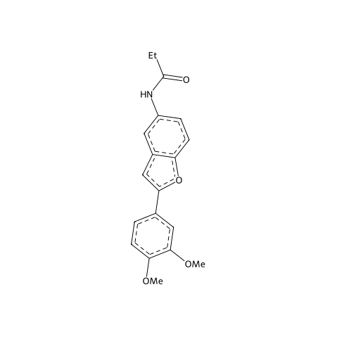 CCC(=O)Nc1ccc2oc(-c3ccc(OC)c(OC)c3)cc2c1